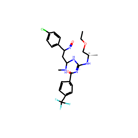 CCOC[C@H](C)N/C(=N/C(=O)c1ccc(C(F)(F)F)cc1)NC(CC(N=O)c1ccc(Cl)cc1)NC